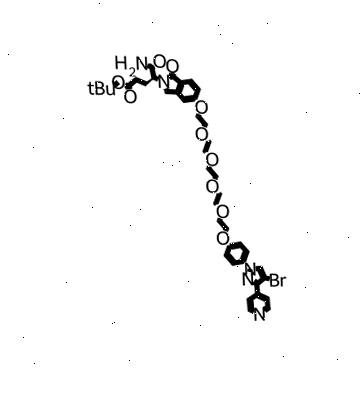 CC(C)(C)OC(=O)CC[C@@H](C(N)=O)N1Cc2cc(OCCOCCOCCOCCOCCOc3ccc(-n4cc(Br)c(-c5ccncc5)n4)cc3)ccc2C1=O